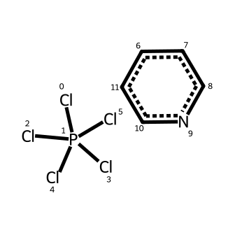 ClP(Cl)(Cl)(Cl)Cl.c1ccncc1